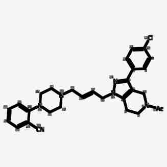 CC(=O)N1CCc2c(c(-c3ccc(Cl)cc3)nn2CC=CCN2CCN(c3ccccc3C#N)CC2)C1